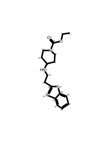 CCOC(=O)N1CCC(NCCc2nc3ccccc3s2)CC1